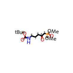 COP(=O)(CC(=O)CCCNC(=O)OC(C)(C)C)OC